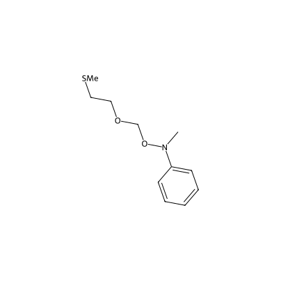 CSCCOCON(C)c1ccccc1